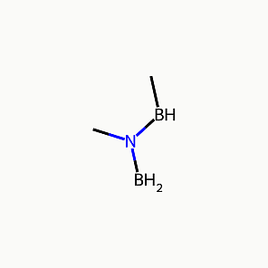 BN(C)BC